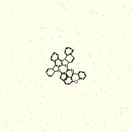 C1=CC2c3c(c4c(c5ccccc35)C3c5ccccc5C=CC3N4c3nc4c5c(cccc5n3)Oc3ccccc3-4)N(c3ccccc3)C2C=C1